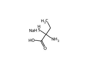 CCC(N)(S)C(=O)O.[NaH]